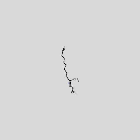 CO/N=C(\C)CCCCCCCC#N